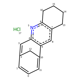 C1=CC2=Cc3nc4c(cc3C(=C1)C2)CCCC4.Cl